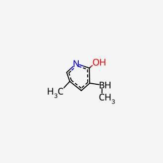 CBc1cc(C)cnc1O